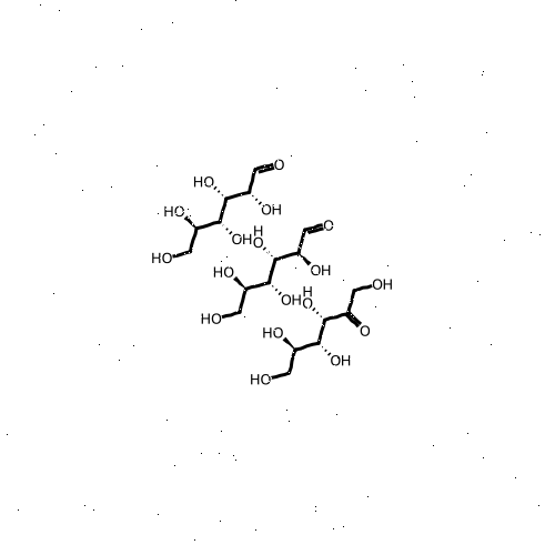 O=C(CO)[C@@H](O)[C@H](O)[C@H](O)CO.O=C[C@@H](O)[C@@H](O)[C@H](O)[C@H](O)CO.O=C[C@H](O)[C@@H](O)[C@H](O)[C@H](O)CO